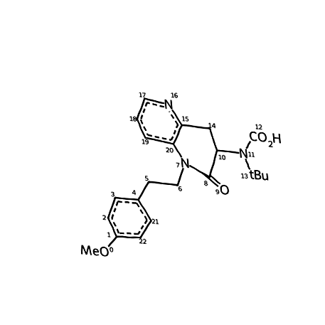 COc1ccc(CCN2C(=O)C(N(C(=O)O)C(C)(C)C)Cc3ncccc32)cc1